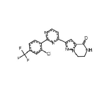 O=C1NCCn2nc(-c3ccnc(-c4ccc(C(F)(F)F)cc4Cl)n3)cc21